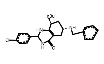 CCCC[C@H]1C[C@H](NCc2ccccc2)CC2=C1NC(c1ccc(Cl)cc1)NC2=O